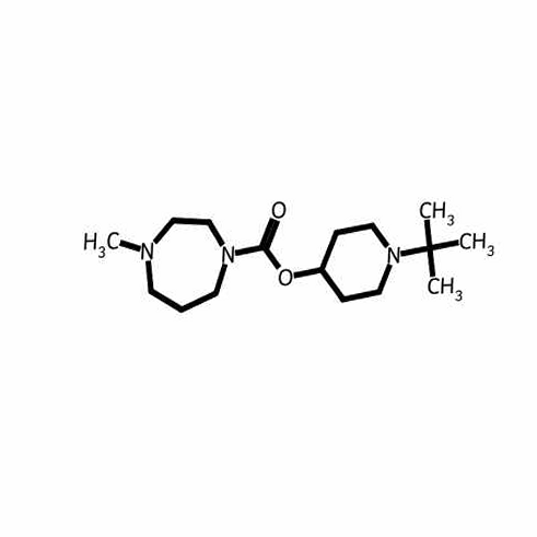 CN1CCCN(C(=O)OC2CCN(C(C)(C)C)CC2)CC1